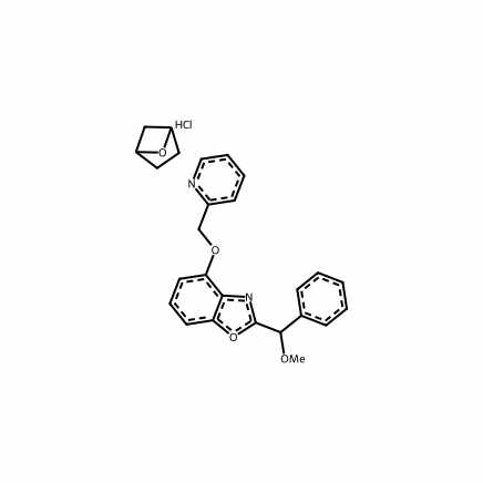 C1CC2CC1O2.COC(c1ccccc1)c1nc2c(OCc3ccccn3)cccc2o1.Cl